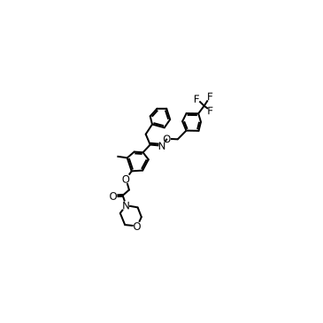 Cc1cc(/C(Cc2ccccc2)=N/OCc2ccc(C(F)(F)F)cc2)ccc1OCC(=O)N1CCOCC1